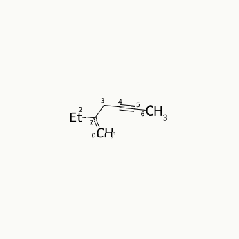 [CH]=C(CC)CC#CC